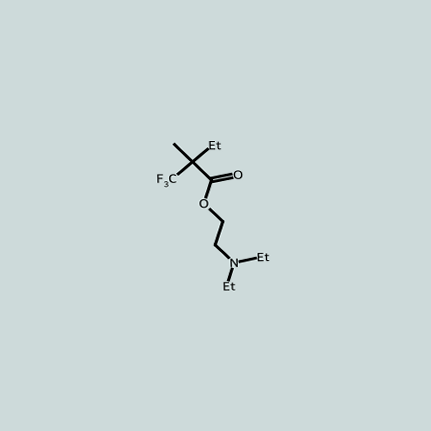 CCN(CC)CCOC(=O)C(C)(CC)C(F)(F)F